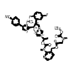 CC(OC(=O)N(C)c1ncccc1COC(=O)CN(C)C(=O)OC(C)(C)C)[n+]1cnn(C[C@](O)(c2cc(F)ccc2F)[C@@H](C)c2nc(-c3ccc(C#N)cc3)cs2)c1